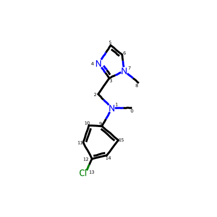 CN(Cc1nccn1C)c1ccc(Cl)cc1